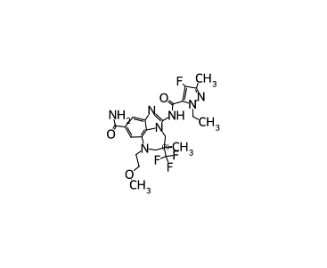 CCn1nc(C)c(F)c1C(=O)Nc1nc2cc(C(N)=O)cc3c2n1C[C@](C)(C(F)(F)F)CN3CCOC